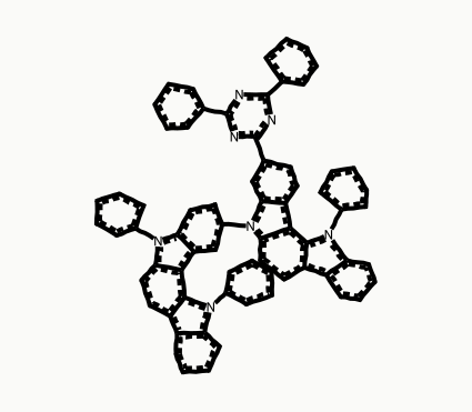 c1ccc(-c2nc(-c3ccccc3)nc(-c3ccc4c5c(ccc6c7ccccc7n(-c7ccccc7)c65)n(-c5ccc6c(c5)c5c(ccc7c8ccccc8n(-c8ccccc8)c75)n6-c5ccccc5)c4c3)n2)cc1